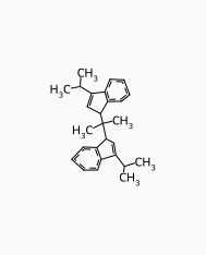 CC(C)C1=CC(C(C)(C)C2C=C(C(C)C)c3ccccc32)c2ccccc21